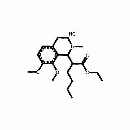 CCCCC(C(=O)OCC)C1c2c(ccc(OC)c2OC)CCN1C.Cl